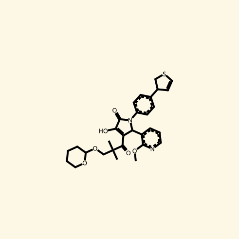 COc1ncccc1C1C(C(=O)C(C)(C)COC2CCCCO2)=C(O)C(=O)N1c1ccc(C2C=CSC2)cc1